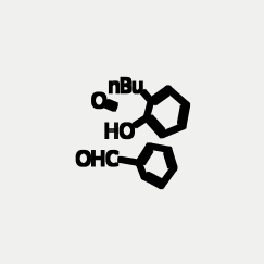 C=O.CCCCc1ccccc1O.O=Cc1ccccc1